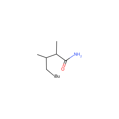 CCC(C)CC(C)C(C)C(N)=O